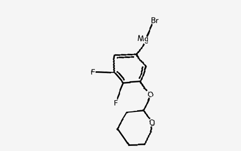 Fc1c[c]([Mg][Br])cc(OC2CCCCO2)c1F